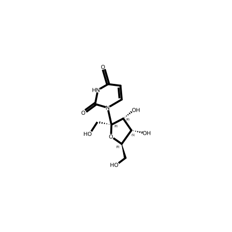 O=c1ccn([C@]2(CO)O[C@H](CO)[C@@H](O)[C@H]2O)c(=O)[nH]1